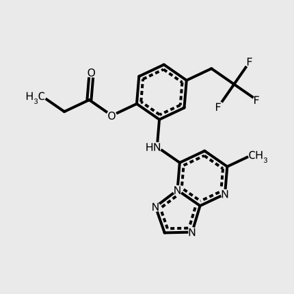 CCC(=O)Oc1ccc(CC(F)(F)F)cc1Nc1cc(C)nc2ncnn12